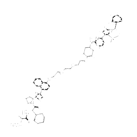 CN[C@@H](C)C(=O)N[C@H](C(=O)N1CCC[C@H]1c1nc(-c2ccc(OCCOCCOCCOC3CCC(Nc4nccc(-c5cnn(Cc6ccccc6)c5N(C)C)n4)CC3)c3ccccc23)cs1)C1CCCCC1